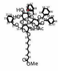 COC(=O)CCCCCCCCO[C@@H]1O[C@H](COCc2ccccc2)[C@@H](O[C@@H]2O[C@H](C)[C@H](O)[C@H](O)[C@H]2O)[C@H](O[C@@H]2O[C@@H](C)[C@@H](OCc3ccccc3)[C@@H](OCc3ccccc3)[C@@H]2OCc2ccccc2)[C@H]1NC(C)=O